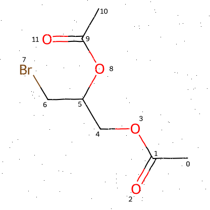 CC(=O)OCC(CBr)OC(C)=O